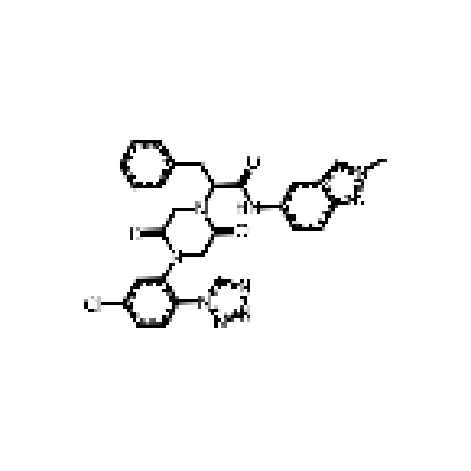 Cn1cc2cc(NC(=O)C(Cc3ccccc3)N3CC(=O)N(c4cc(Cl)ccc4-n4cnnn4)CC3=O)ccc2n1